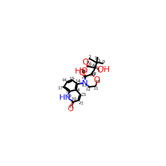 CC(C)(C)[C@](O)(C(=O)O)[C@H]1OCCN(c2cccc3[nH]c(=O)ccc23)C1=O